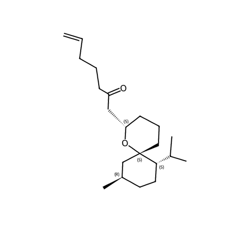 C=CCCCC(=O)C[C@@H]1CCC[C@@]2(C[C@H](C)CC[C@H]2C(C)C)O1